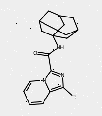 O=C(NC12CC3CC(CC(C3)C1)C2)c1nc(Cl)c2ccccn12